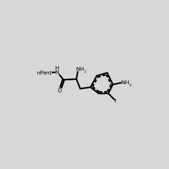 CCCCCNC(=O)C(N)Cc1ccc(N)c(I)c1